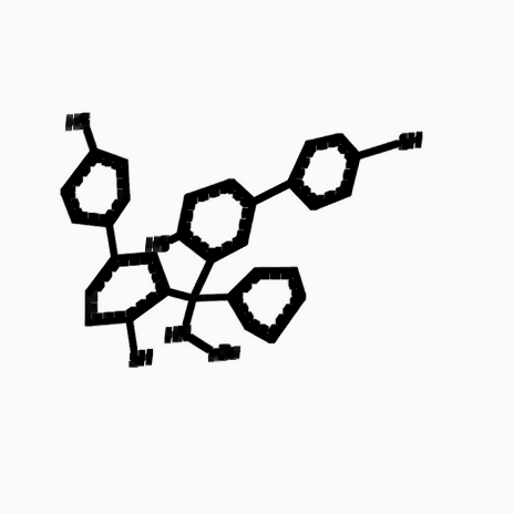 CCCCNC(c1ccccc1)(c1cc(-c2ccc(S)cc2)ccc1S)c1cc(-c2ccc(S)cc2)ccc1S